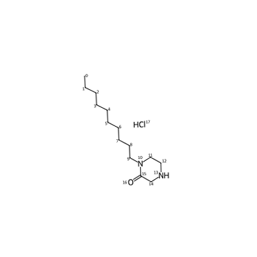 CCCCCCCCCCN1CCNCC1=O.Cl